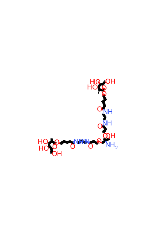 CC1[C@H](OCCCCC(=O)NCCCNC(=O)CCOCC(N)(CO)COCCC(=O)NCCCNC(=O)CCCCO[C@@H]2OC(CO)[C@H](O)C(O)[C@@H]2C)OC(CO)[C@H](O)[C@@H]1O